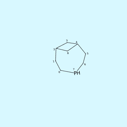 C1C[C]2CC(CCP1)C2